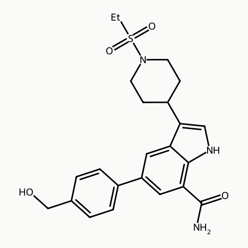 CCS(=O)(=O)N1CCC(c2c[nH]c3c(C(N)=O)cc(-c4ccc(CO)cc4)cc23)CC1